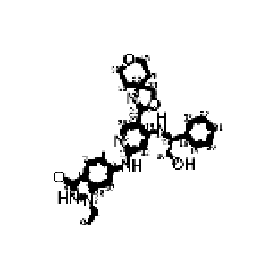 CCn1[nH]c(=O)c2ccc(Nc3cc(N[C@H](CO)c4ccccc4)c(C4=NC5(CCOCC5)CO4)cn3)cc21